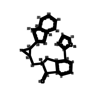 O=C1c2cccc(-c3ncco3)c2CN1CC1CC1c1cn2ccccc2n1